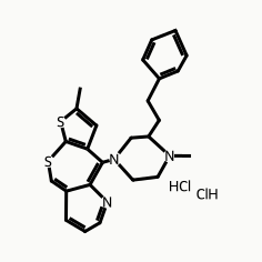 Cc1cc2c(s1)SC=c1cccnc1=C2N1CCN(C)C(CCc2ccccc2)C1.Cl.Cl